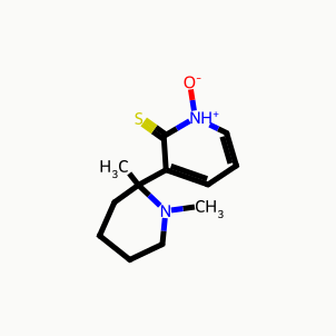 CN1CCCCC1(C)C1=CC=C[NH+]([O-])C1=S